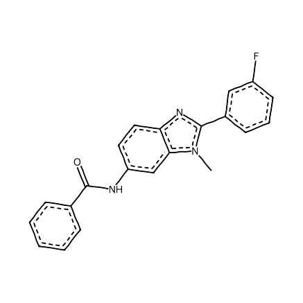 Cn1c(-c2cccc(F)c2)nc2ccc(NC(=O)c3ccccc3)cc21